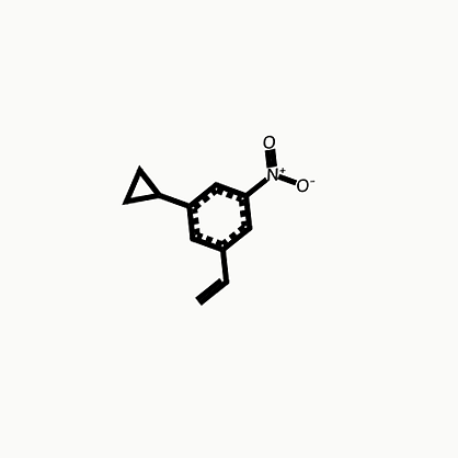 C=Cc1cc(C2CC2)cc([N+](=O)[O-])c1